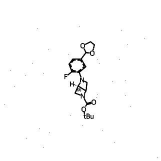 CC(C)(C)OC(=O)N1C[C@@H]2C1CN2c1cc(C2OCCO2)ccc1F